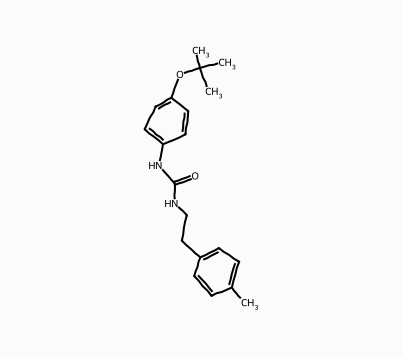 Cc1ccc(CCNC(=O)Nc2ccc(OC(C)(C)C)cc2)cc1